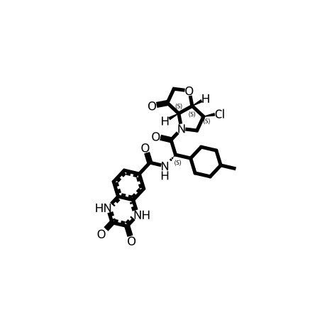 CC1CCC([C@H](NC(=O)c2ccc3[nH]c(=O)c(=O)[nH]c3c2)C(=O)N2C[C@H](Cl)[C@H]3OCC(=O)[C@H]32)CC1